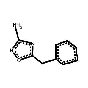 Nc1noc(Cc2ccccc2)n1